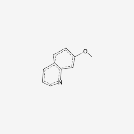 COc1ccc2cccnc2c1